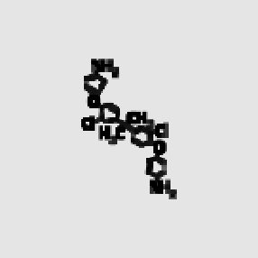 CC(C)(c1ccc(Oc2ccc(N)cc2)c(Cl)c1)c1ccc(Oc2ccc(N)cc2)c(Cl)c1